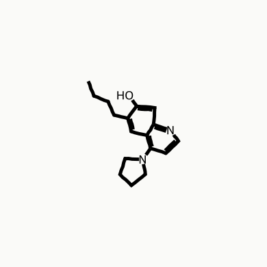 CCCCc1cc2c(N3CCCC3)ccnc2cc1O